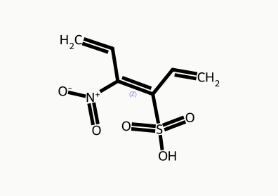 C=C/C(=C(\C=C)S(=O)(=O)O)[N+](=O)[O-]